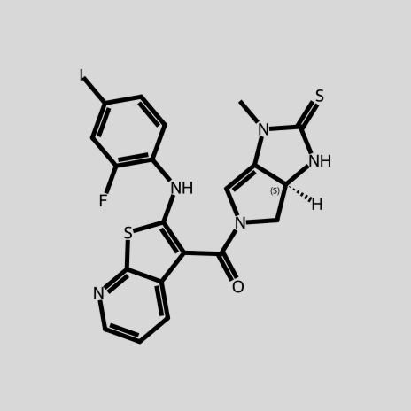 CN1C(=S)N[C@H]2CN(C(=O)c3c(Nc4ccc(I)cc4F)sc4ncccc34)C=C21